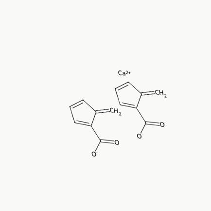 C=C1C=CC=C1C(=O)[O-].C=C1C=CC=C1C(=O)[O-].[Ca+2]